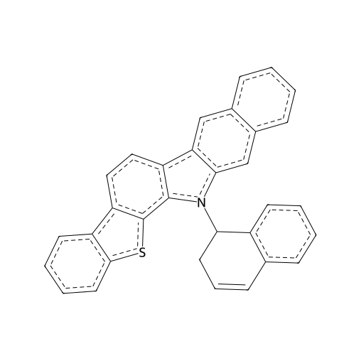 C1=Cc2ccccc2C(n2c3cc4ccccc4cc3c3ccc4c5ccccc5sc4c32)C1